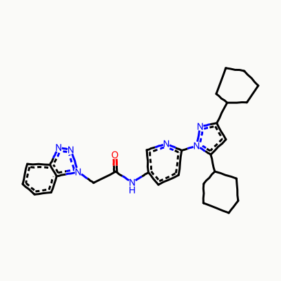 O=C(Cn1nnc2ccccc21)Nc1ccc(-n2nc(C3CCCCC3)cc2C2CCCCC2)nc1